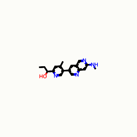 CCC(O)c1cc(C)c(-c2cnc3cc(NC)ncc3c2)cn1